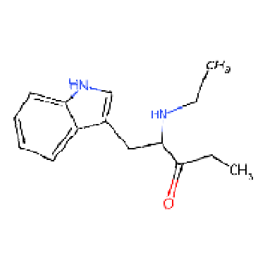 CCNC(Cc1c[nH]c2ccccc12)C(=O)CC